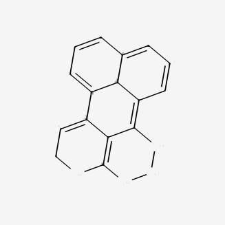 C1=CC2=CC=CC3=C4[Se][Se][Se]C5=C4C(=CC[Se]5)C(=C1)C23